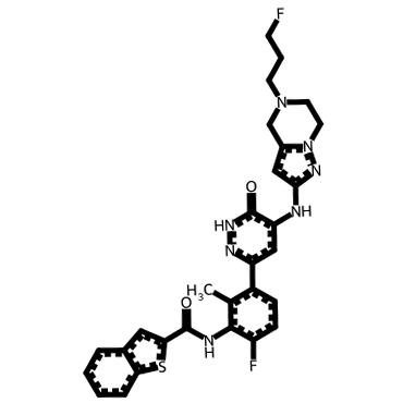 Cc1c(-c2cc(Nc3cc4n(n3)CCN(CCCF)C4)c(=O)[nH]n2)ccc(F)c1NC(=O)c1cc2ccccc2s1